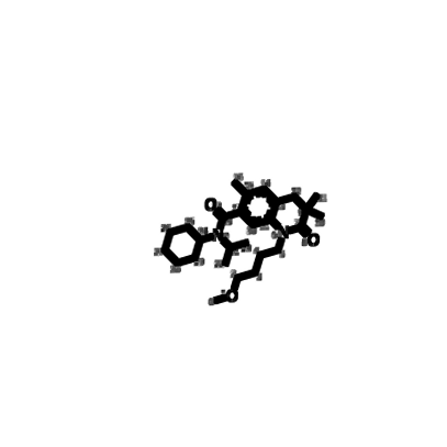 COCCCCN1C(=O)C(C)(C)Cc2cc(C)c(C(=O)N(C(C)C)C3CCCCC3)cc21